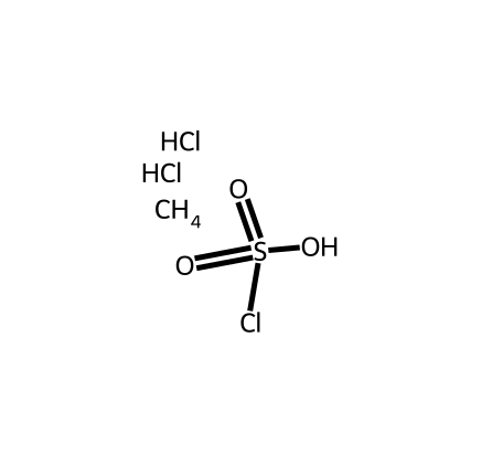 C.Cl.Cl.O=S(=O)(O)Cl